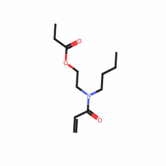 C=CC(=O)N(CCCC)CCOC(=O)CC